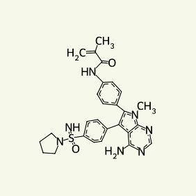 C=C(C)C(=O)Nc1ccc(-c2c(-c3ccc(S(=N)(=O)N4CCCC4)cc3)c3c(N)ncnc3n2C)cc1